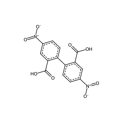 O=C(O)c1cc([N+](=O)[O-])ccc1-c1ccc([N+](=O)[O-])cc1C(=O)O